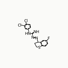 N=C(N=NC1CCSc2ccc(F)cc21)Nc1ccc(Cl)c(Cl)c1